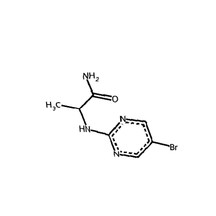 CC(Nc1ncc(Br)cn1)C(N)=O